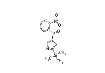 C[Si](C)(C)c1ncc(C(=O)c2ccccc2[N+](=O)[O-])s1